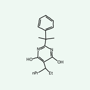 CCCC(CC)c1c(O)nc(C(C)(C)c2ccccc2)nc1O